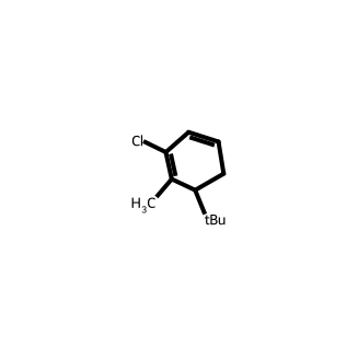 CC1=C(Cl)C=CCC1C(C)(C)C